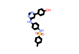 Cc1ccc(S(=O)(=O)Nc2ccc(Nc3cc(-c4ccc(O)cc4)ncn3)cc2)cc1